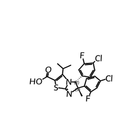 CC(C)C1=C(C(=O)O)SC2=N[C@@](C)(c3ccc(Cl)cc3F)[C@@H](c3ccc(Cl)c(F)c3)N21